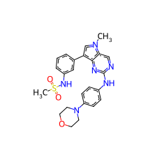 Cn1cc(-c2cccc(NS(C)(=O)=O)c2)c2nc(Nc3ccc(N4CCOCC4)cc3)ncc21